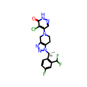 C[C@H](c1ccc(F)cc1C(F)F)n1nnc2c1CCN(c1cn[nH]c(=O)c1Cl)C2